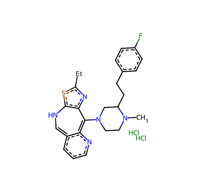 CCc1nc2c(s1)NC=c1cccnc1=C2N1CCN(C)C(CCc2ccc(F)cc2)C1.Cl.Cl